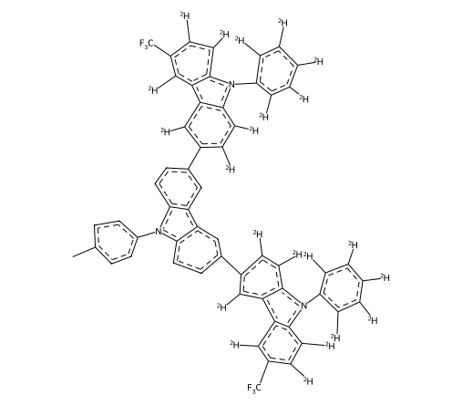 [2H]c1c([2H])c([2H])c(-n2c3c([2H])c([2H])c(-c4ccc5c(c4)c4cc(-c6c([2H])c([2H])c7c(c6[2H])c6c([2H])c(C(F)(F)F)c([2H])c([2H])c6n7-c6c([2H])c([2H])c([2H])c([2H])c6[2H])ccc4n5-c4ccc(C)cc4)c([2H])c3c3c([2H])c(C(F)(F)F)c([2H])c([2H])c32)c([2H])c1[2H]